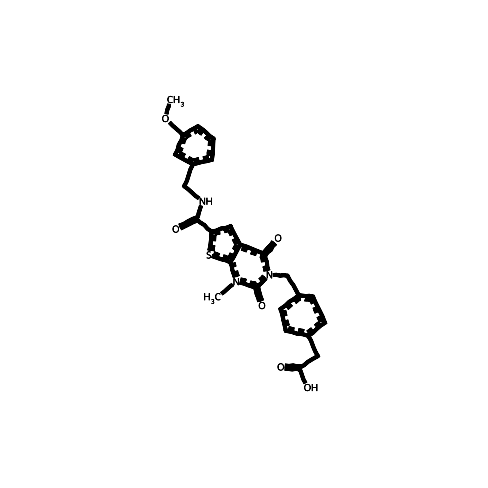 COc1cccc(CNC(=O)c2cc3c(=O)n(Cc4ccc(CC(=O)O)cc4)c(=O)n(C)c3s2)c1